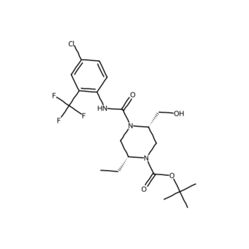 CC[C@@H]1CN(C(=O)Nc2ccc(Cl)cc2C(F)(F)F)[C@H](CO)CN1C(=O)OC(C)(C)C